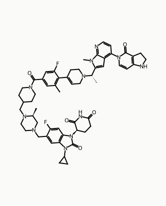 Cc1cc(C(=O)N2CCC(CN3CCN(Cc4cc5c(cc4F)n([C@@H]4CCC(=O)NC4=O)c(=O)n5C4CC4)C[C@@H]3C)CC2)cc(F)c1C1=CCN([C@@H](C)c2cc3c(-n4ccc5c(c4=O)CCN5)ccnc3n2C)CC1